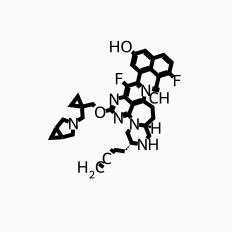 C#Cc1c(F)ccc2cc(O)cc(-c3nc4c5c(nc(OCC6(CN7CC8CC8C7)CC6)nc5c3F)N3C[C@@H](CC=C=C)NC[C@H]3CC4)c12